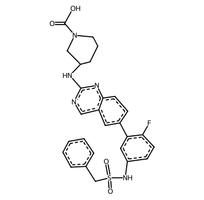 O=C(O)N1CCCC(Nc2ncc3cc(-c4cc(NS(=O)(=O)Cc5ccccc5)ccc4F)ccc3n2)C1